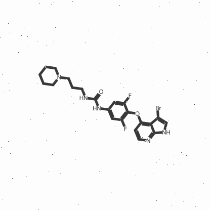 O=C(NCCCN1CCCCC1)Nc1cc(F)c(Oc2ccnc3[nH]cc(Br)c23)c(F)c1